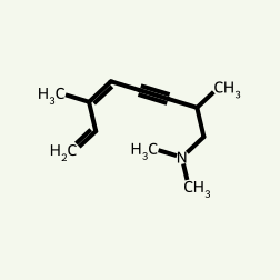 C=C/C(C)=C\C#CC(C)CN(C)C